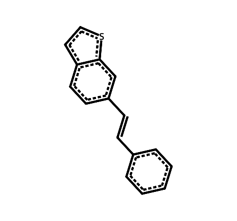 C(=Cc1ccc2ccsc2c1)c1ccccc1